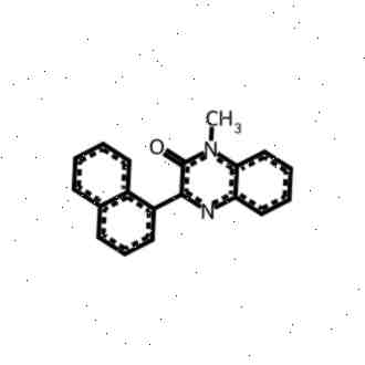 Cn1c(=O)c(-c2cccc3ccccc23)nc2ccccc21